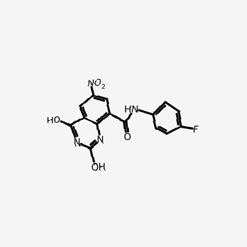 O=C(Nc1ccc(F)cc1)c1cc([N+](=O)[O-])cc2c(O)nc(O)nc12